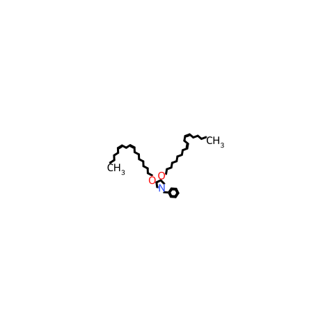 CCCCC/C=C\C/C=C\CCCCCCCCO[C@@H]1CN(Cc2ccccc2)C[C@H]1OCCCCCCCC/C=C\C/C=C\CCCCC